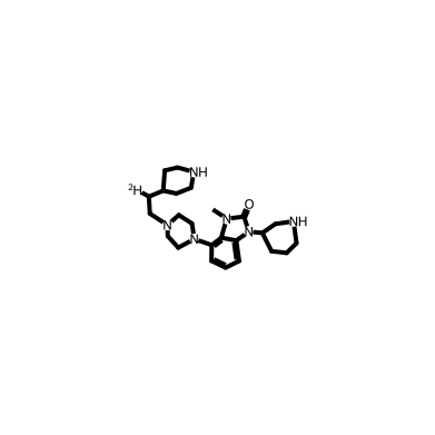 [2H]C(CN1CCN(c2cccc3c2n(C)c(=O)n3C2CCCNC2)CC1)C1CCNCC1